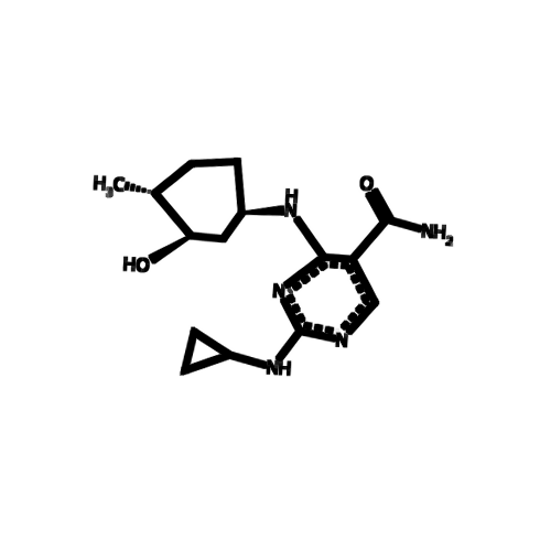 C[C@@H]1CC[C@@H](Nc2nc(NC3CC3)ncc2C(N)=O)C[C@H]1O